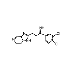 N=C(CCC1=NC2C=NC=CC2N1)c1ccc(Cl)c(Cl)c1